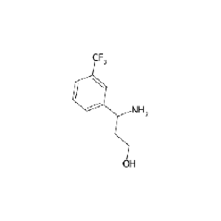 NC(CCO)c1cccc(C(F)(F)F)c1